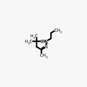 CCCN/N=C(/C)CC(C)(C)C